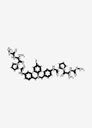 COC(=O)N[C@@H](C)C(=O)N1CCC[C@H]1C(=O)Nc1ccc(CN(Cc2ccc(NC(=O)[C@@H]3CCCN3C(=O)[C@H](C)NC(=O)OC)cc2)c2ccc(F)cc2)cc1